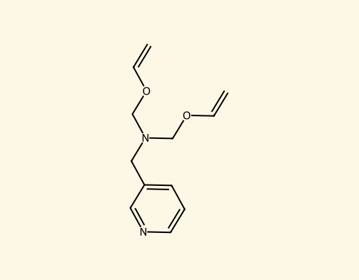 C=COCN(COC=C)Cc1cccnc1